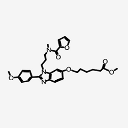 COC(=O)CCCCCOc1ccc2nc(-c3ccc(OC)cc3)n(CCCN(C)C(=O)c3ccco3)c2c1